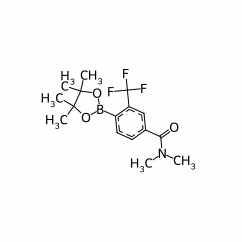 CN(C)C(=O)c1ccc(B2OC(C)(C)C(C)(C)O2)c(C(F)(F)F)c1